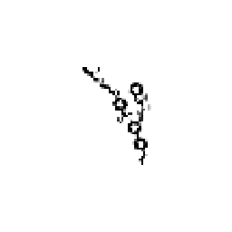 C=CC(=O)COCCCOc1ccc(C(=O)Oc2ccc(-c3ccc(CCC)cc3)cc2/C=N/Nc2nc3ccccc3s2)cc1